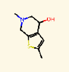 Cc1cc2c(s1)CN(C)CC2O